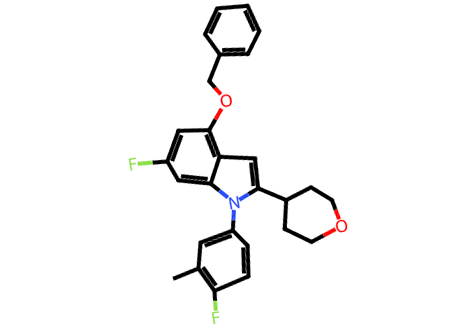 Cc1cc(-n2c(C3CCOCC3)cc3c(OCc4ccccc4)cc(F)cc32)ccc1F